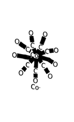 O=[C]=[Co](=[C]=O)(=[C]=O)(=[C]=O)(=[C]=O)(=[C]=O)(=[C]=O)(=[C]=O)=[C]=O.[Co]